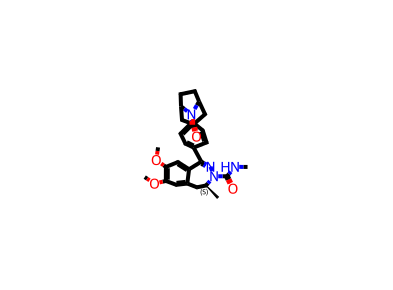 CNC(=O)N1N=C(c2ccc(N3C4CCC3CC(=O)C4)cc2)c2cc(OC)c(OC)cc2C[C@@H]1C